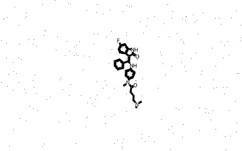 CN(C)CCCC(=O)N(C)c1ccc(N/C(=C2\C(=O)Nc3cc(F)ccc32)c2ccccc2)cc1